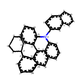 c1ccc(N(c2ccc3ccccc3c2)c2ccccc2-c2cccc3cccc(C4CCCCC4)c23)cc1